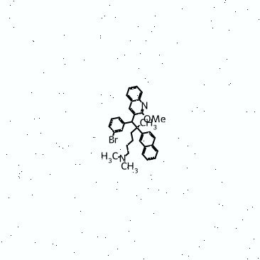 COc1nc2ccccc2cc1C(c1cccc(Br)c1)C(C)(CCCCN(C)C)c1ccc2ccccc2c1